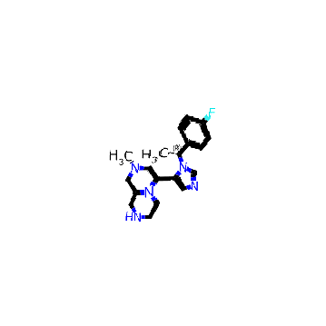 C[C@H](c1ccc(F)cc1)n1cncc1C1CN(C)CC2CNCCN21